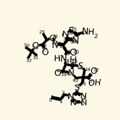 C=CCn1nnnc1SCC1(C(=O)O)CS[C@@H]2C(NC(=O)C(=NOC(C)C(=O)OC(C)(C)C)c3nsc(N)n3)C(=O)N2C1